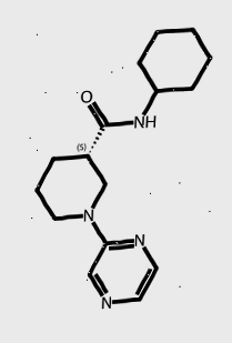 O=C(NC1CCCCC1)[C@H]1CCCN(c2cnccn2)C1